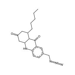 CCCCCC1CC(=O)CC2Nc3ccc(CN=[N+]=[N-])cc3C(=O)C12